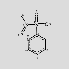 CS(=S)S(=O)(=O)c1ccncn1